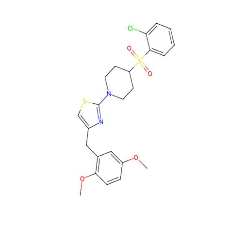 COc1ccc(OC)c(Cc2csc(N3CCC(S(=O)(=O)c4ccccc4Cl)CC3)n2)c1